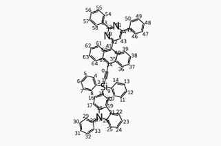 C(#C[Si](c1ccccc1)(c1ccccc1)c1ccc2c(c1)c1ccccc1n2-c1ccccc1)c1c2ccccc2c(-c2cc(-c3ccccc3)nc(-c3ccccc3)n2)c2ccccc12